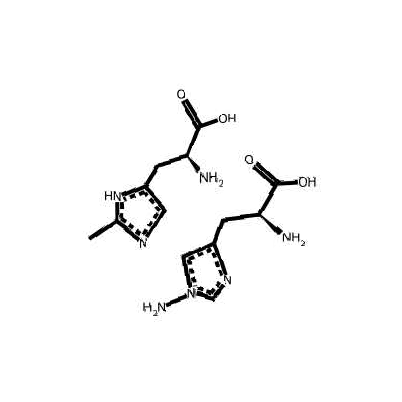 Cc1ncc(C[C@H](N)C(=O)O)[nH]1.N[C@@H](Cc1cn(N)cn1)C(=O)O